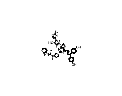 CCn1nnc([C@H]2O[C@@H](n3cnc4c(NCC(c5ccc(O)cc5)c5ccc(O)cc5)nc(N5CC[C@@H](NC(=O)Nc6cccnc6)C5)nc43)[C@@H](O)[C@@H]2O)n1